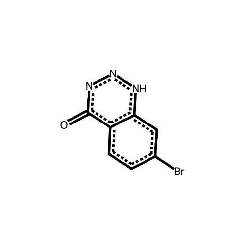 O=c1nn[nH]c2cc(Br)ccc12